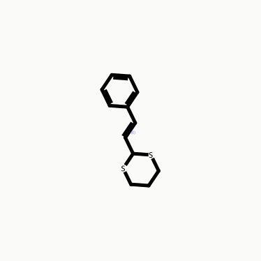 C(=C\C1SCCCS1)/c1ccccc1